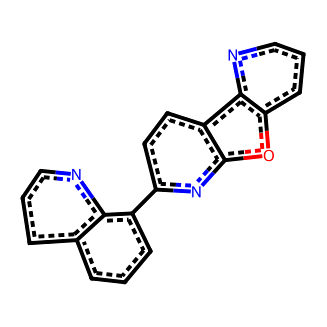 c1cnc2c(-c3ccc4c(n3)oc3cccnc34)cccc2c1